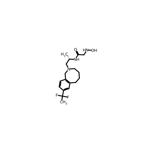 C[C@@H](CN1CCCCc2cc(C(C)(F)F)ccc2C1)NC(=O)CNO